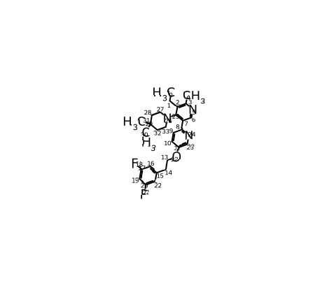 CCc1c(C)ncc(-c2ccc(OCCc3cc(F)cc(F)c3)cn2)c1N1CCC(C)(C)CC1